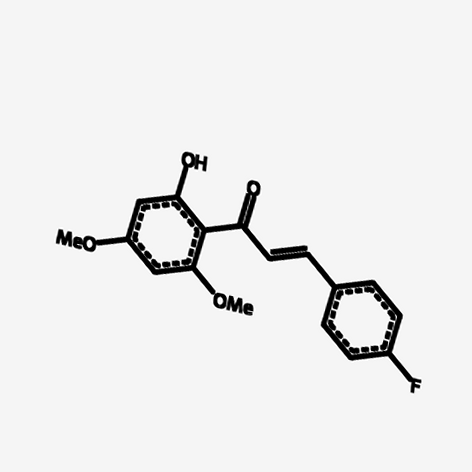 COc1cc(O)c(C(=O)C=Cc2ccc(F)cc2)c(OC)c1